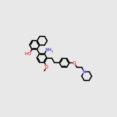 COc1ccc(-c2c(O)ccc3c2CCCC3)c(N)c1CCc1ccc(OCCN2CCCCC2)cc1